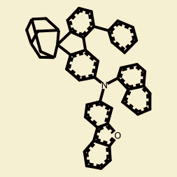 c1ccc(-c2cccc3c2-c2cc(N(c4ccc5c(c4)oc4ccccc45)c4cccc5ccccc45)ccc2C32C3CC4CC(C3)CC2C4)cc1